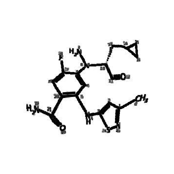 Cc1cc(Nc2cc(N(N)[C@@H](C=O)CC3CC3)c(F)cc2C(N)=O)sn1